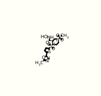 Cc1nnc(-c2ccc(S(=O)(=O)N3CCN(S(C)(=O)=O)C[C@@H]3C(=O)NO)s2)o1